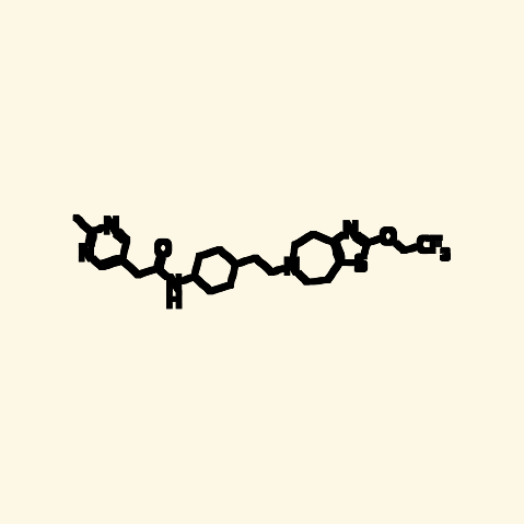 Cc1ncc(CC(=O)NC2CCC(CCN3CCc4nc(OCC(F)(F)F)sc4CC3)CC2)cn1